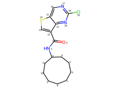 O=C(NC1CCCCCCCC1)c1csc2cnc(Cl)nc12